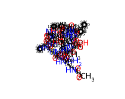 CC(=O)CCC(=O)NCCCC[C@H](NC(=O)CNC(=O)[C@H](CSCC(=O)N[C@@H](Cc1ccccc1)C(=O)N[C@H](C(=O)N1CCC[C@H]1C(N)=O)C(C)C)NC(=O)[C@@H]1CCCN1C(=O)[C@H](C)NC(=O)[C@H](CCC(=O)O)NC(=O)[C@H](C)N(C)C(=O)[C@H](Cc1ccc(-c2ccccc2)cc1)NC(=O)[C@H](C)N(C)C(=O)[C@H](Cc1ccc(-c2ccccc2)cc1)NC(=O)[C@@H](NC(=O)C[C@@H](C)O)[C@@H](C)O)C(N)=O